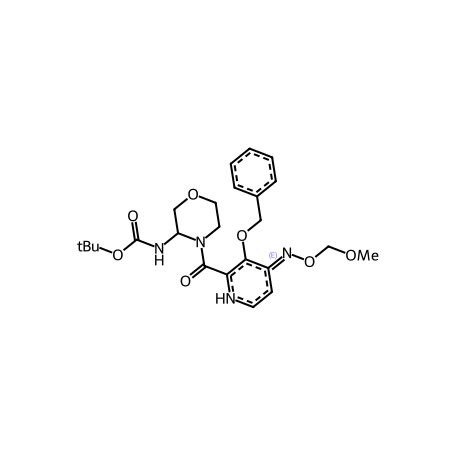 COCO/N=c1\cc[nH]c(C(=O)N2CCOCC2NC(=O)OC(C)(C)C)c1OCc1ccccc1